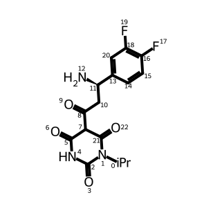 CC(C)N1C(=O)NC(=O)C(C(=O)C[C@@H](N)c2ccc(F)c(F)c2)C1=O